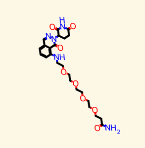 NC(=O)CCOCCOCCOCCOCCNc1cccc2cnn(C3CCC(=O)NC3=O)c(=O)c12